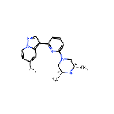 C[C@@H]1CN(c2cccc(-c3cnn4ccc(C(F)(F)F)cc34)n2)C[C@H](C)N1